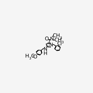 CCN(CC)C(=O)[C@@H]1C[C@H](NCc2ccc(OC)cc2)CN1Cc1ccccc1Cl